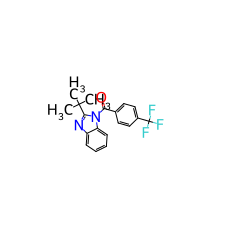 CC(C)(C)c1nc2ccccc2n1C(=O)c1ccc(C(F)(F)F)cc1